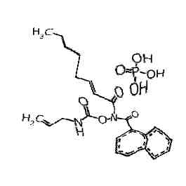 C=CCNC(=O)ON(C(=O)C=CCCCCC)C(=O)c1cccc2ccccc12.O=P(O)(O)O